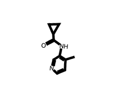 Cc1ccncc1NC(=O)C1CC1